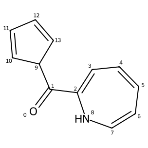 O=C(C1=CC=CC=CN1)C1C=CC=C1